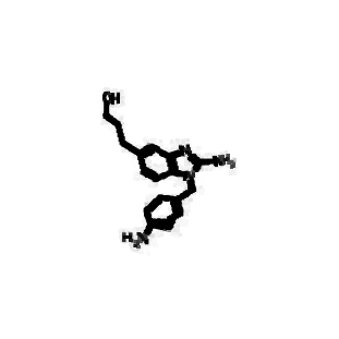 Nc1ccc(Cn2c(N)nc3cc(CCCO)ccc32)cc1